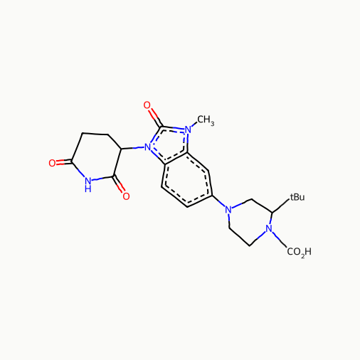 Cn1c(=O)n(C2CCC(=O)NC2=O)c2ccc(N3CCN(C(=O)O)C(C(C)(C)C)C3)cc21